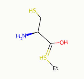 CC[SH]=C(O)[C@@H](N)CS